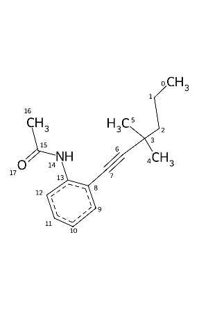 CCCC(C)(C)C#Cc1ccccc1NC(C)=O